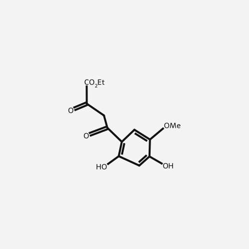 CCOC(=O)C(=O)CC(=O)c1cc(OC)c(O)cc1O